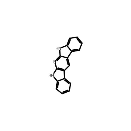 c1ccc2c(c1)[nH]c1nc3[nH]c4ccccc4c3cc12